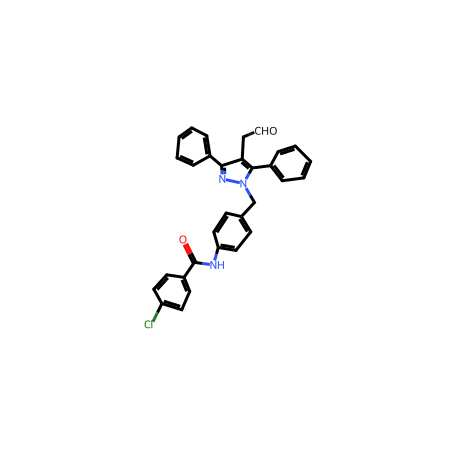 O=CCc1c(-c2ccccc2)nn(Cc2ccc(NC(=O)c3ccc(Cl)cc3)cc2)c1-c1ccccc1